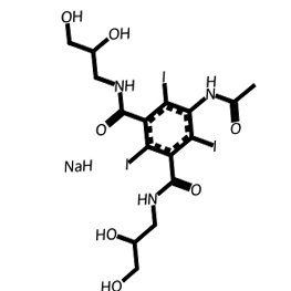 CC(=O)Nc1c(I)c(C(=O)NCC(O)CO)c(I)c(C(=O)NCC(O)CO)c1I.[NaH]